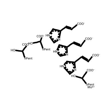 CCCCCC(O)C(=O)[O-].CCCCCC(O)C(=O)[O-].CCCCCC(O)C(=O)[O-].O=C([O-])C=Cc1c[nH]cn1.O=C([O-])C=Cc1c[nH]cn1.O=C([O-])C=Cc1c[nH]cn1.[Mo+6]